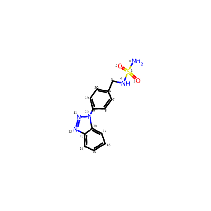 NS(=O)(=O)NCc1ccc(-n2nnc3ccccc32)cc1